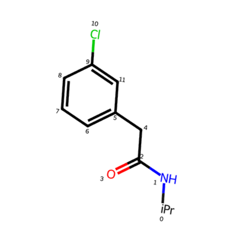 CC(C)NC(=O)Cc1cccc(Cl)c1